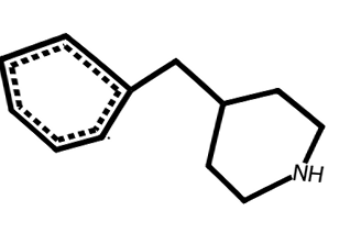 [c]1ccccc1CC1CCNCC1